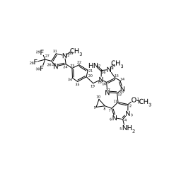 COc1nc(N)nc(C2CC2)c1-c1ncc2c(n1)n(Cc1ccc(-c3nc(C(F)(F)F)cn3C)cc1)c(=N)n2C